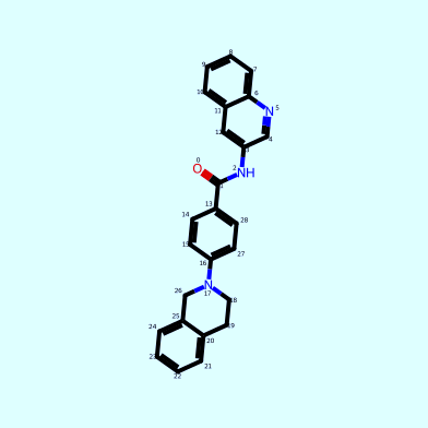 O=C(Nc1cnc2ccccc2c1)c1ccc(N2CCc3ccccc3C2)cc1